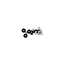 CN1C(=O)C(=Cc2cc3c(s2)-c2ccc(N(c4ccccc4)c4ccccc4)cc2C3(C)C)C(=O)N(C)C1=O